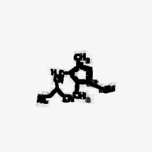 CCCC[n+]1cn(C)c(C)c1C.N#CC(C#N)C#N